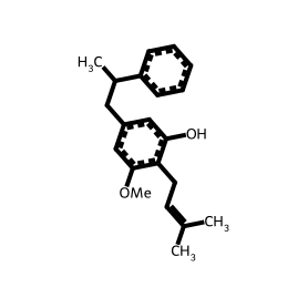 COc1cc(CC(C)c2ccccc2)cc(O)c1CC=C(C)C